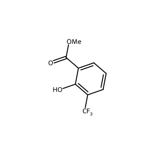 COC(=O)c1cccc(C(F)(F)F)c1O